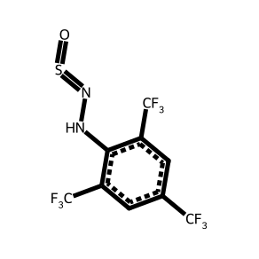 O=S=NNc1c(C(F)(F)F)cc(C(F)(F)F)cc1C(F)(F)F